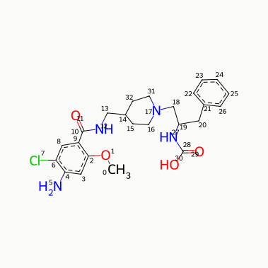 COc1cc(N)c(Cl)cc1C(=O)NCC1CCN(CC(Cc2ccccc2)NC(=O)O)CC1